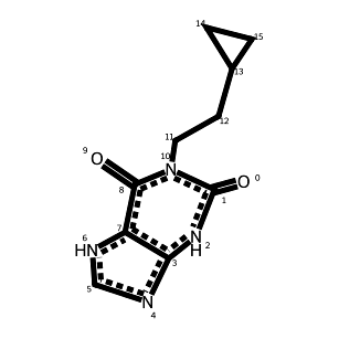 O=c1[nH]c2nc[nH]c2c(=O)n1CCC1CC1